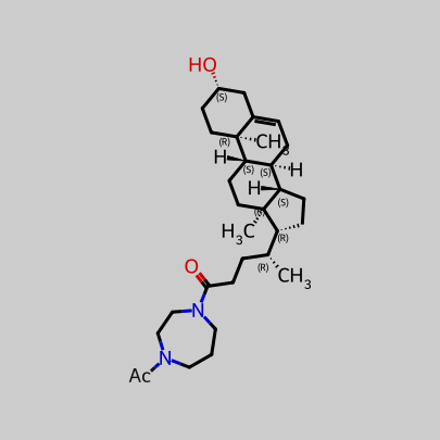 CC(=O)N1CCCN(C(=O)CC[C@@H](C)[C@H]2CC[C@H]3[C@@H]4CC=C5C[C@@H](O)CC[C@]5(C)[C@H]4CC[C@]23C)CC1